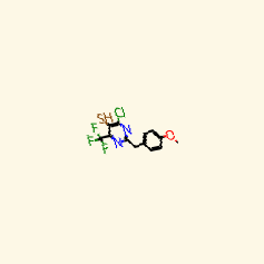 COc1ccc(Cc2nc(Cl)c(S)c(C(F)(F)F)n2)cc1